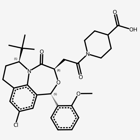 COc1ccccc1[C@H]1O[C@H](CC(=O)N2CCC(C(=O)O)CC2)C(=O)N2c3c(cc(Cl)cc31)CC[C@H]2C(C)(C)C